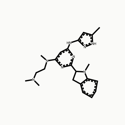 Cc1cc(Nc2cc(N(C)CCN(C)C)nc(C3Cc4ccccc4N3C)n2)n[nH]1